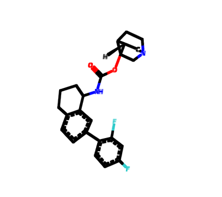 O=C(NC1CCCc2ccc(-c3ccc(F)cc3F)cc21)O[C@H]1CN2CCC1CC2